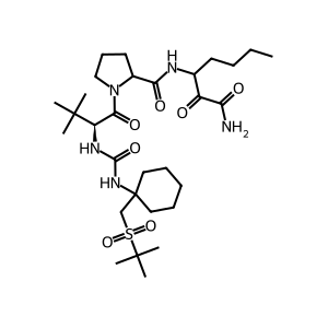 CCCCC(NC(=O)C1CCCN1C(=O)[C@@H](NC(=O)NC1(CS(=O)(=O)C(C)(C)C)CCCCC1)C(C)(C)C)C(=O)C(N)=O